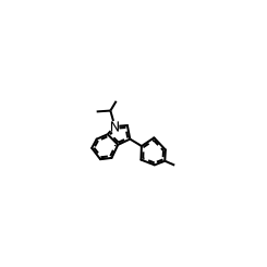 Cc1ccc(-c2cn(C(C)C)c3ccccc23)cc1